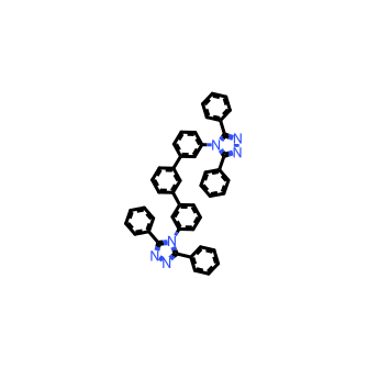 c1ccc(-c2nnc(-c3ccccc3)n2-c2cccc(-c3cccc(-c4cccc(-n5c(-c6ccccc6)nnc5-c5ccccc5)c4)c3)c2)cc1